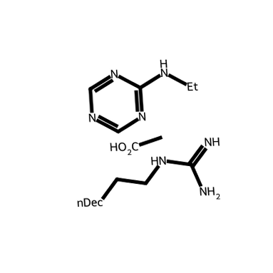 CC(=O)O.CCCCCCCCCCCCNC(=N)N.CCNc1ncncn1